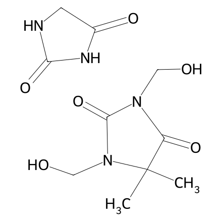 CC1(C)C(=O)N(CO)C(=O)N1CO.O=C1CNC(=O)N1